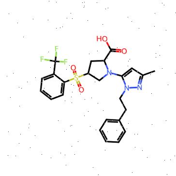 Cc1cc(N2CC(S(=O)(=O)c3ccccc3C(F)(F)F)CC2C(=O)O)n(CCc2ccccc2)n1